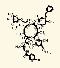 CON=C1C[C@@H](C)O[C@@H](O[C@@H]2[C@@H](C)[C@H](O[C@H]3CC(C)N(CCc4ccccc4)C[C@H](C)O3)[C@@H](C)C(=O)O[C@@H](C(C)CO[C@@H]3O[C@H](C)[C@@H](O)[C@@H](OC)[C@H]3OC)[C@@H](C)[CH][C@@H](C)C(=O)[C@@](C)(OC(=O)NC(C)(C)CNC(=O)c3cnc(O)cn3)C[C@@H]2C)[C@@H]1O